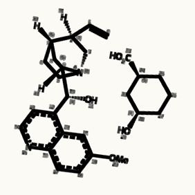 C=C[C@H]1C[N@]2CC[C@H]1C[C@H]2[C@H](O)c1ccnc2ccc(OC)cc12.O=C(O)[C@H]1CCC[C@@H](O)C1